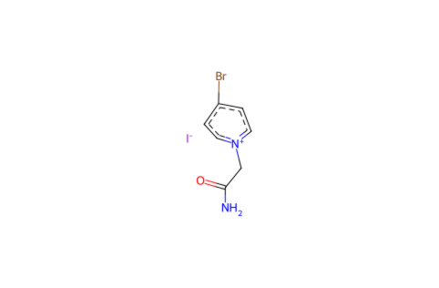 NC(=O)C[n+]1ccc(Br)cc1.[I-]